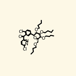 CCCCOC[C@H]1OC(c2ccc(Cl)c(C(=O)c3ccc(Cl)nn3)c2)[C@H](OCCCC)[C@@H](OCCCC)[C@@H]1OCCCC